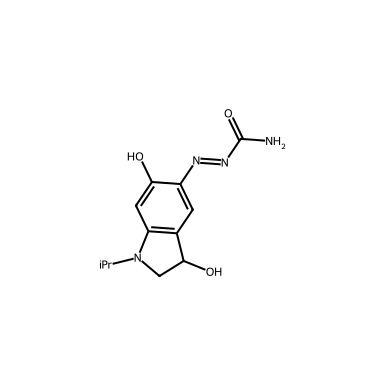 CC(C)N1CC(O)c2cc(N=NC(N)=O)c(O)cc21